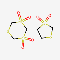 O=S1(=O)CCSC1.O=S1(=O)CSCS(=O)(=O)C1